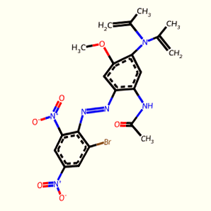 C=C(C)N(C(=C)C)c1cc(NC(C)=O)c(N=Nc2c(Br)cc([N+](=O)[O-])cc2[N+](=O)[O-])cc1OC